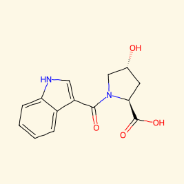 O=C(O)[C@@H]1C[C@@H](O)CN1C(=O)c1c[nH]c2ccccc12